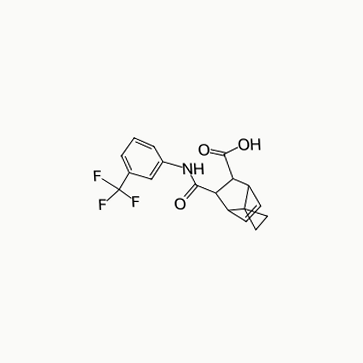 O=C(O)C1C(C(=O)Nc2cccc(C(F)(F)F)c2)C2C=CC1C21CC1